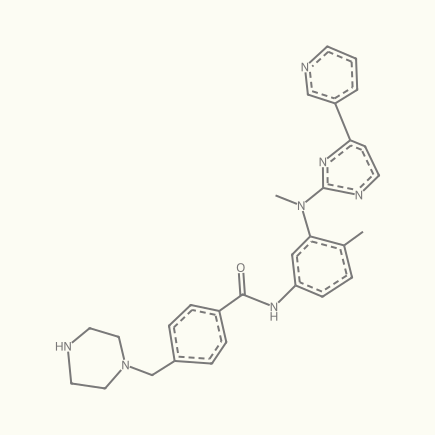 Cc1ccc(NC(=O)c2ccc(CN3CCNCC3)cc2)cc1N(C)c1nccc(-c2cccnc2)n1